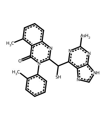 Cc1ccccc1-n1c(C(S)c2nc([AsH2])nc3[nH]cnc23)nc2cccc(C)c2c1=O